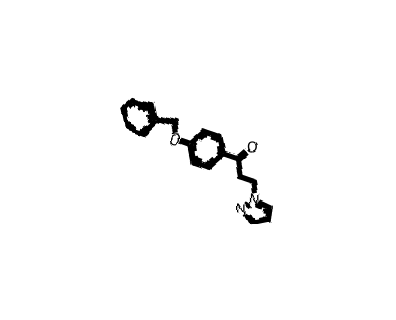 O=C(CCn1cccn1)c1ccc(OCc2ccccc2)cc1